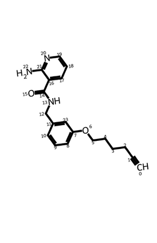 C#CCCCCOc1cccc(CNC(=O)c2cccnc2N)c1